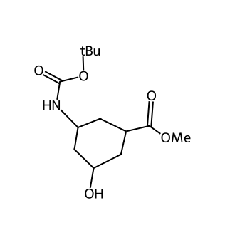 COC(=O)C1CC(O)CC(NC(=O)OC(C)(C)C)C1